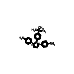 C[Si](C)(C)c1ccc(N2[C@H](c3ccc(N)cc3)CC[C@H]2c2ccc(N)cc2)cc1